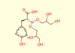 O=C(O)[C@H](Cc1ccc(O)cc1)N(OCC(O)CO)OCC(O)CO